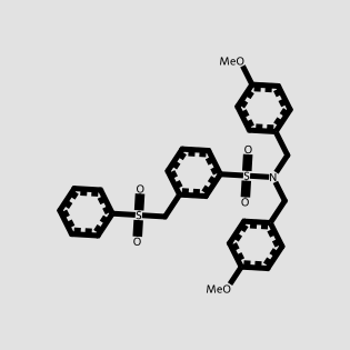 COc1ccc(CN(Cc2ccc(OC)cc2)S(=O)(=O)c2cccc(CS(=O)(=O)c3ccccc3)c2)cc1